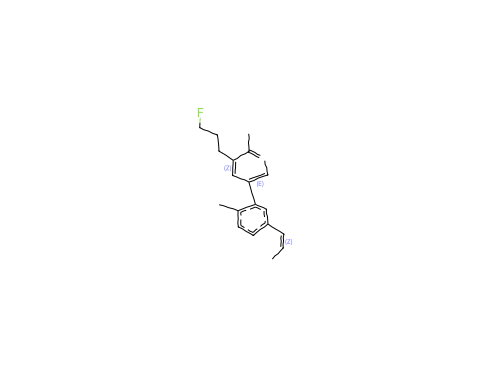 C=C(C)/C(=C\C(=C/C)c1cc(/C=C\C)ccc1C)CCCF